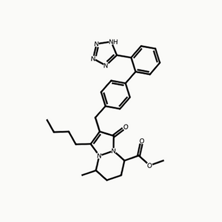 CCCCc1c(Cc2ccc(-c3ccccc3-c3nnn[nH]3)cc2)c(=O)n2n1C(C)CCC2C(=O)OC